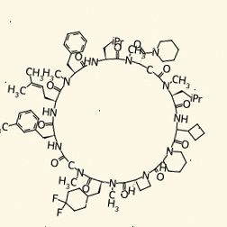 CC(C)=CC[C@@H]1NC(=O)[C@H](Cc2cccc(C)c2)NC(=O)CN(C)C(=O)[C@H](CC2CCC(F)(F)CC2)N(C)C(=O)[C@@H]2CCN2C(=O)[C@@H]2CCCCN2C(=O)C(C2CCC2)NC(=O)[C@H](CC(C)C)N(C)C(=O)C[C@@H](C(=O)N2CCCCC2)N(C)C(=O)[C@H](CC(C)C)NC(=O)[C@H](Cc2ccccc2)N(C)C1=O